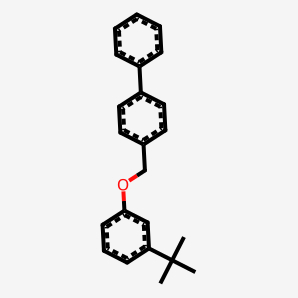 CC(C)(C)c1cccc(OCc2ccc(-c3ccccc3)cc2)c1